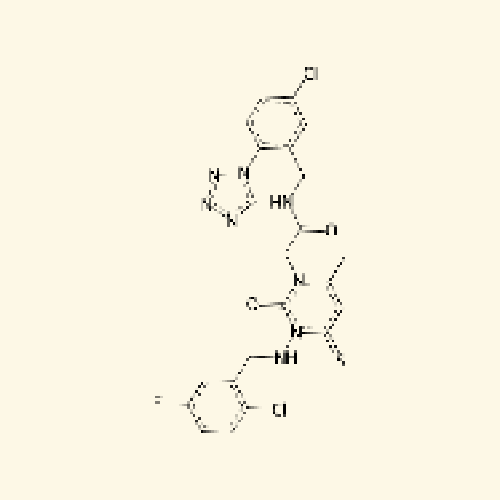 Cc1cc(=S)n(NCc2cc(F)ccc2Cl)c(=O)n1CC(=O)NCc1cc(Cl)ccc1-n1cnnn1